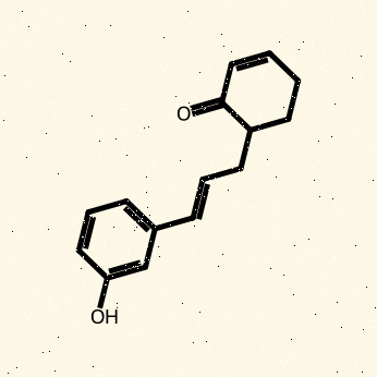 O=C1C=CCCC1CC=Cc1cccc(O)c1